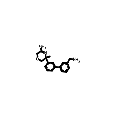 CC1(c2cccc(-c3cccc(CN)c3)c2)COCC(N)=N1